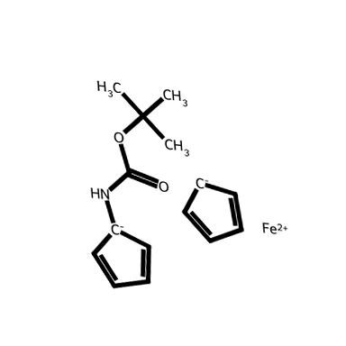 CC(C)(C)OC(=O)N[c-]1cccc1.[Fe+2].c1cc[cH-]c1